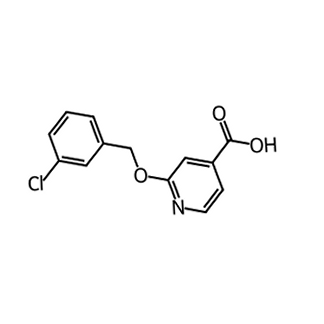 O=C(O)c1ccnc(OCc2cccc(Cl)c2)c1